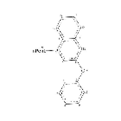 [CH2]CCCCc1cc(Oc2ccccc2)cc2ccccc12